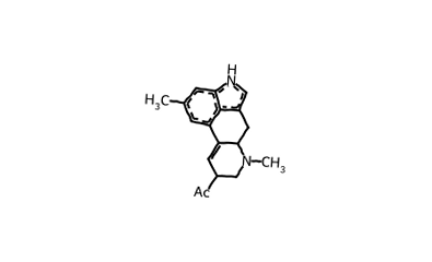 CC(=O)C1C=C2c3cc(C)cc4[nH]cc(c34)CC2N(C)C1